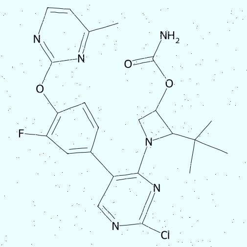 Cc1ccnc(Oc2ccc(-c3cnc(Cl)nc3N3CC(OC(N)=O)C3C(C)(C)C)cc2F)n1